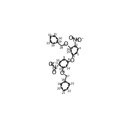 O=[N+]([O-])c1ccc(Oc2ccc([N+](=O)[O-])c(OCc3ccccc3)c2)cc1OCc1ccccc1